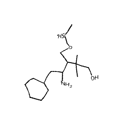 C[SiH](C)OCC(C(N)CC1CCCCC1)C(C)(C)CO